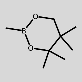 CB1OCC(C)(C)C(C)(C)O1